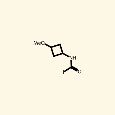 COC1CC(NC(=O)I)C1